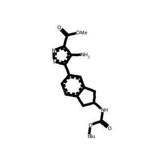 COC(=O)c1nsc(-c2ccc3c(c2)CC(NC(=O)OC(C)(C)C)C3)c1N